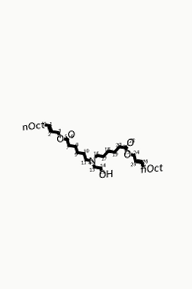 CCCCCCCCC=CCOC(=O)CCCCCN(CCO)CCCCCC(=O)OCC=CCCCCCCCC